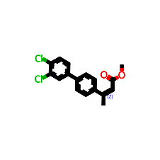 COC(=O)/C=C(/C)c1ccc(-c2ccc(Cl)c(Cl)c2)cc1